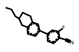 CCCC1CCc2cc(-c3ccc(C#N)c(F)c3)ccc2C1